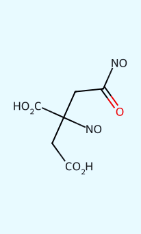 O=NC(=O)CC(CC(=O)O)(N=O)C(=O)O